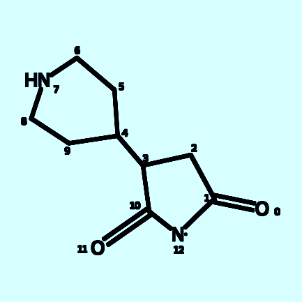 O=C1CC(C2CCNCC2)C(=O)[N]1